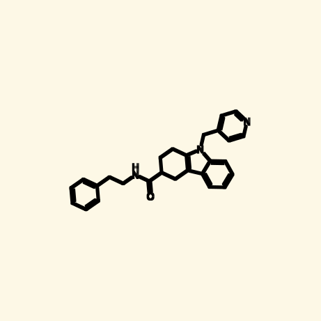 O=C(NCCc1ccccc1)C1CCc2c(c3ccccc3n2Cc2ccncc2)C1